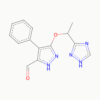 CC(Oc1n[nH]c(C=O)c1-c1ccccc1)c1nc[nH]n1